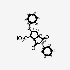 O=C(O)[C@@H]1C2C(=O)N(c3ccccc3)C(=O)C2C[C@@H]1Sc1ccccc1